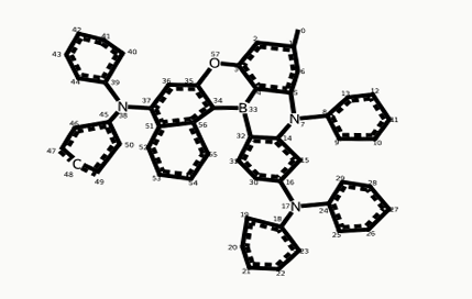 Cc1cc2c3c(c1)N(c1ccccc1)c1cc(N(c4ccccc4)c4ccccc4)ccc1B3c1c(cc(N(c3ccccc3)c3ccccc3)c3ccccc13)O2